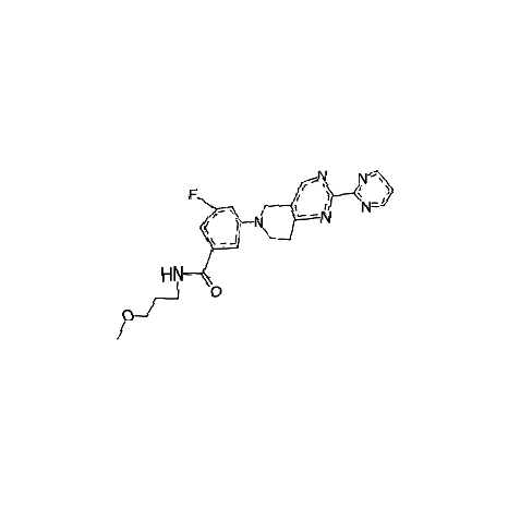 COCCCNC(=O)c1cc(F)cc(N2CCc3nc(-c4ncccn4)ncc3C2)c1